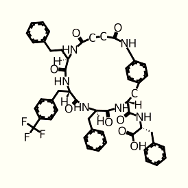 O=C1CCC(=O)N[C@H](CCc2ccccc2)C(=O)N[C@@H](Cc2ccc(C(F)(F)F)cc2)C(=O)N[C@H](Cc2ccccc2)C(=O)N[C@@H](C(=O)N[C@H](Cc2ccccc2)C(=O)O)Cc2ccc(cc2)N1